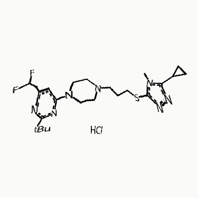 Cl.Cn1c(SCCCN2CCN(c3cc(C(F)F)nc(C(C)(C)C)n3)CC2)nnc1C1CC1